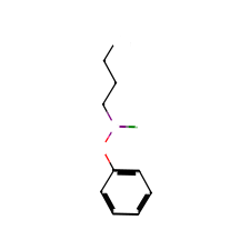 CCCCP(Cl)Oc1ccccc1